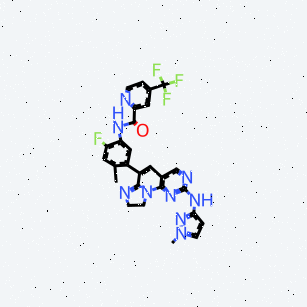 Cc1cc(F)c(NC(=O)c2cc(C(F)(F)F)ccn2)cc1C1=Cc2cnc(Nc3ccn(C)n3)nc2N2CCN=C12